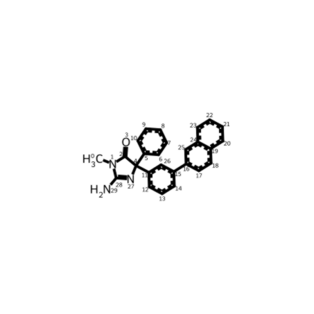 CN1C(=O)C(c2ccccc2)(c2cccc(-c3ccc4ccccc4c3)c2)N=C1N